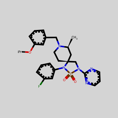 CC(C)Oc1cccc(CN2CC[C@@]3(C[C@@H]2C)CN(c2ncccn2)S(=O)(=O)N3c2cccc(F)c2)c1